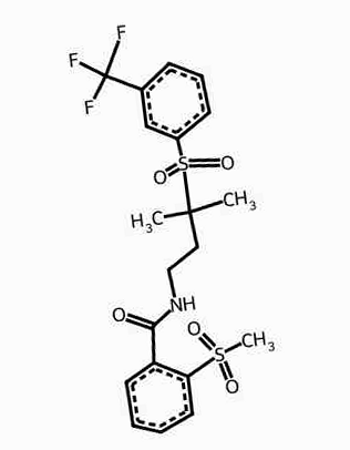 CC(C)(CCNC(=O)c1ccccc1S(C)(=O)=O)S(=O)(=O)c1cccc(C(F)(F)F)c1